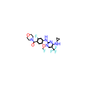 O=C(c1cc(OCF)c(Nc2ncc(C(F)(F)F)c(NC3CC3)n2)cc1F)N1CCOCC1